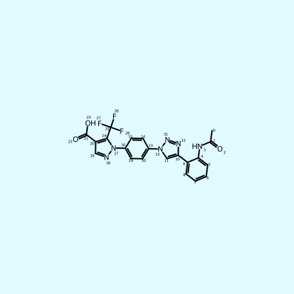 CC(=O)Nc1ccccc1-c1cn(-c2ccc(-n3ncc(C(=O)O)c3C(F)(F)F)cc2)nn1